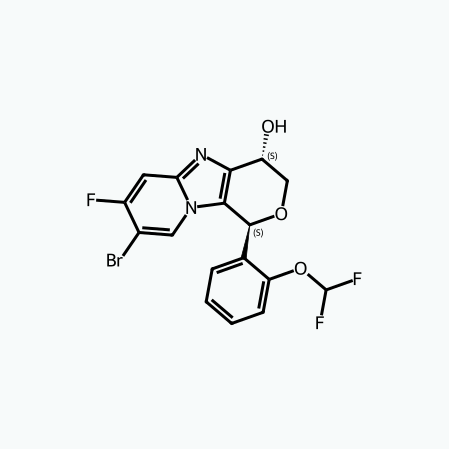 O[C@@H]1CO[C@@H](c2ccccc2OC(F)F)c2c1nc1cc(F)c(Br)cn21